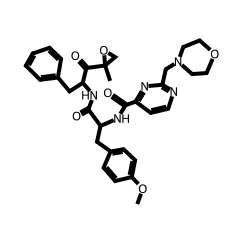 COc1ccc(CC(NC(=O)c2ccnc(CN3CCOCC3)n2)C(=O)NC(Cc2ccccc2)C(=O)C2(C)CO2)cc1